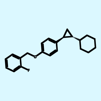 Fc1ccccc1COc1ccc([C@H]2C[C@@H]2C2CCCCC2)cc1